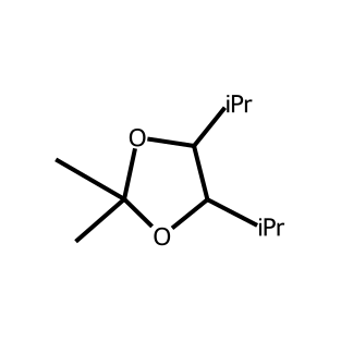 CC(C)C1OC(C)(C)OC1C(C)C